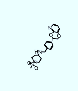 CS(=O)(=O)N1CCC(NCc2ccc([C@H]3COc4cccnc4O3)cc2)CC1